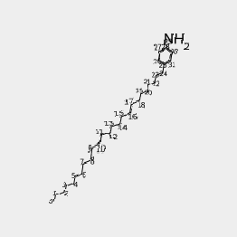 CCCCCCCCCCCCCCCCCCCCCCCCCc1ccc(N)cc1